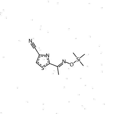 CC(=NO[Si](C)(C)C)c1nc(C#N)cs1